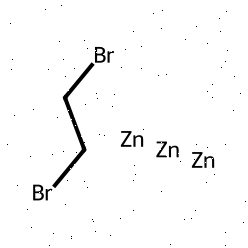 BrCCBr.[Zn].[Zn].[Zn]